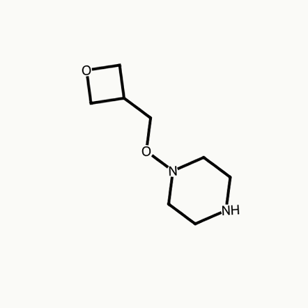 C1CN(OCC2COC2)CCN1